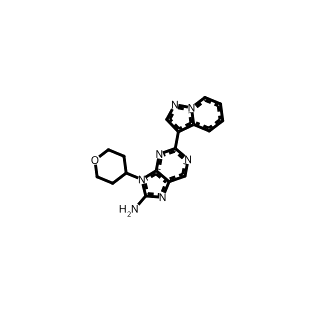 Nc1nc2cnc(-c3cnn4ccccc34)nc2n1C1CCOCC1